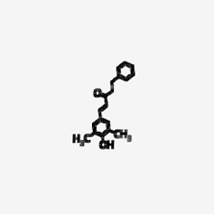 Cc1cc(/C=C/C(=O)CCc2ccccc2)cc(C)c1O